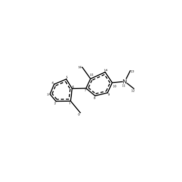 Cc1ccccc1-c1ccc(N(C)C)cc1C